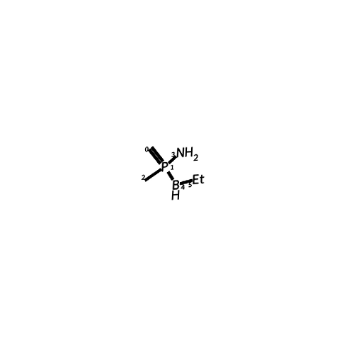 C=P(C)(N)BCC